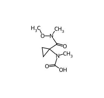 CON(C)C(=O)C1(N(C)C(=O)O)CC1